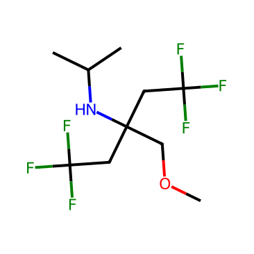 COCC(CC(F)(F)F)(CC(F)(F)F)NC(C)C